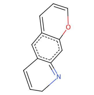 C1=COc2cc3c(cc2=C1)C=CCN=3